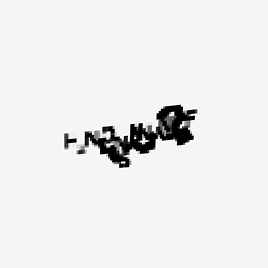 NC(=O)Cc1csc(-c2ccc(NCC3(c4ncccc4F)CCC3)nn2)n1